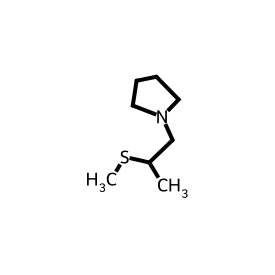 CSC(C)CN1CCCC1